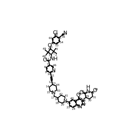 CC1(C)C(NC(=O)c2ccc(C#CC3CCN(CC4CCN(c5ccc6nnn(C7CCC(=O)NC7=O)c(=O)c6c5)CC4)CC3)nc2)C(C)(C)C1Oc1ccc(C#N)c(Cl)c1